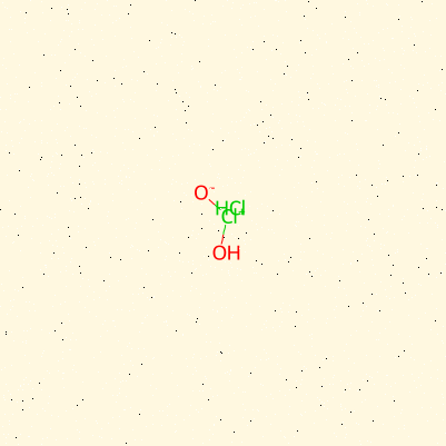 Cl.[O-][Cl+]O